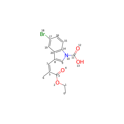 CCOC(=O)C(C)=Cc1cn(C(=O)O)c2ccc(Br)cc12